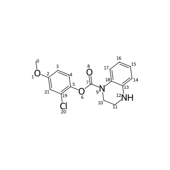 COc1ccc(OC(=O)N2CCNc3ccccc32)c(Cl)c1